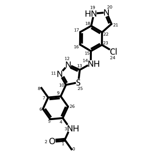 CC(=O)Nc1ccc(C)c(-c2nnc(Nc3ccc4[nH]ncc4c3Cl)s2)c1